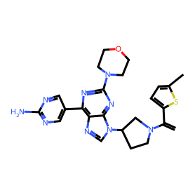 C=C(c1ccc(C)s1)N1CCC(n2cnc3c(-c4cnc(N)nc4)nc(N4CCOCC4)nc32)C1